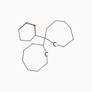 C1CCCC(C2(C34CCC(CC3)CC4)CCCCCCC2)CCC1